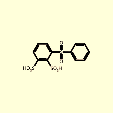 O=S(=O)(O)c1cccc(S(=O)(=O)c2ccccc2)c1S(=O)(=O)O